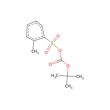 Cc1ccccc1S(=O)(=O)OC(=O)OC(C)(C)C